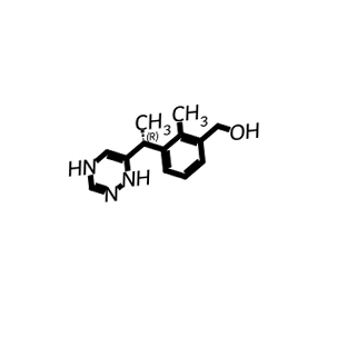 Cc1c(CO)cccc1[C@@H](C)C1=CNC=NN1